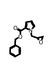 O=C(OCc1ccccc1)c1cccn1CC1CO1